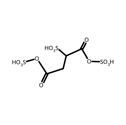 O=C(CC(C(=O)OS(=O)(=O)O)S(=O)(=O)O)OS(=O)(=O)O